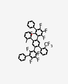 Cc1ccccc1-c1cc(-c2c(F)c(F)c(F)c(-c3ccccc3)c2F)c(-c2ccccc2C(F)(F)F)cc1-c1c(F)c(F)c(F)c(-c2ccccc2)c1F